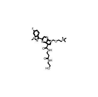 Cn1nc(-c2cnc3c(n2)c(C(=O)NCCC(=O)NCCO)cn3COCC[Si](C)(C)C)c2ccc(F)cc21